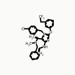 C=CNc1nc(Oc2cccc(CC(F)(F)F)c2)n(Cc2ccc(Cl)cc2)c1C(=C)N(C)Cc1ccccc1